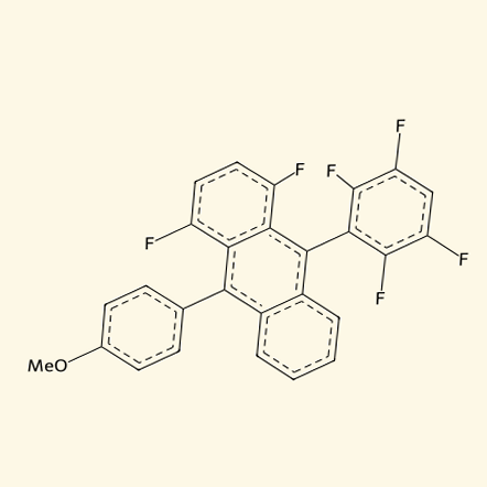 COc1ccc(-c2c3ccccc3c(-c3c(F)c(F)cc(F)c3F)c3c(F)ccc(F)c23)cc1